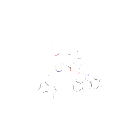 CN[C@@H](Cc1c[nH]c2ccccc12)C(=O)N[C@H]1CN(C(=O)CC(C)C)CC[C@H]2CC[C@@H](C(=O)NC(c3ccccc3)c3ccccc3)N2C1=O